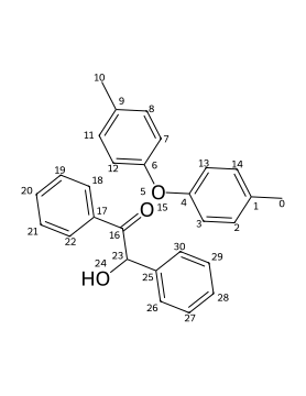 Cc1ccc(Oc2ccc(C)cc2)cc1.O=C(c1ccccc1)C(O)c1ccccc1